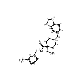 CC(C)CC1(C(=O)NCc2cccc(C(F)(F)F)c2)CCN(Cc2ccc3c(c2)OCO3)CC1